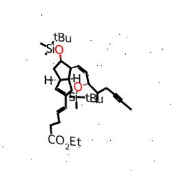 CC#CCC(C)[C@@H](/C=C\[C@H]1[C@H]2CC(C=CCCC(=O)OCC)=C[C@H]2C[C@H]1O[Si](C)(C)C(C)(C)C)O[Si](C)(C)C(C)(C)C